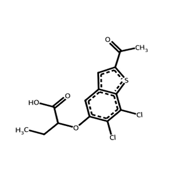 CCC(Oc1cc2cc(C(C)=O)sc2c(Cl)c1Cl)C(=O)O